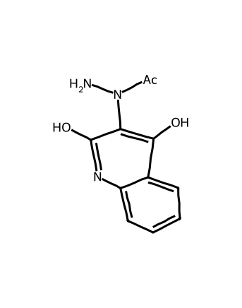 CC(=O)N(N)c1c(O)nc2ccccc2c1O